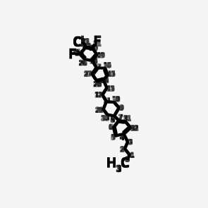 CCCCc1ccc(C2CCC(CCc3ccc(-c4cc(F)c(Cl)c(F)c4)cc3)CC2)cc1